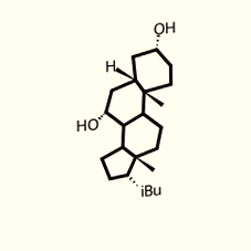 CC[C@@H](C)C1CCC2C3C(CC[C@@]21C)[C@@]1(C)CC[C@@H](O)C[C@H]1C[C@H]3O